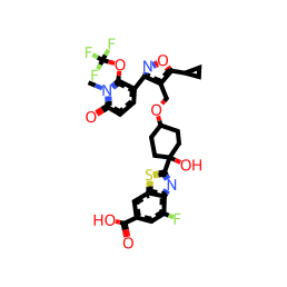 Cn1c(OC(F)(F)F)c(-c2noc(C3CC3)c2COC2CCC(O)(c3nc4c(F)cc(C(=O)O)cc4s3)CC2)ccc1=O